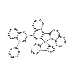 c1ccc(-c2nc(-c3cc4c(c5ccccc35)-c3ccc5ccccc5c3C43c4ccccc4-c4ccccc43)nc3ccccc23)cc1